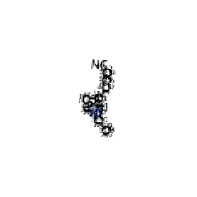 N#Cc1ccc2cc3ccc(-c4ccc5c(c4)-c4ccccc4C54c5ccccc5-n5c6ccc(-c7ccccc7)cc6c6cccc4c65)cc3cc2c1